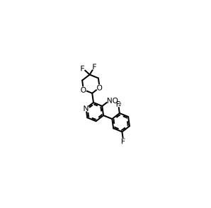 O=[N+]([O-])c1c(-c2cc(F)ccc2F)ccnc1C1OCC(F)(F)CO1